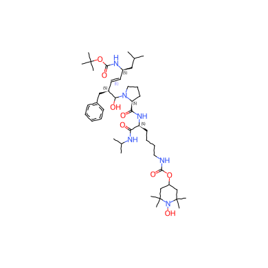 CC(C)C[C@@H](/C=C/[C@H](Cc1ccccc1)C(O)N1CCC[C@H]1C(=O)N[C@@H](CCCCNC(=O)OC1CC(C)(C)N(O)C(C)(C)C1)C(=O)NC(C)C)NC(=O)OC(C)(C)C